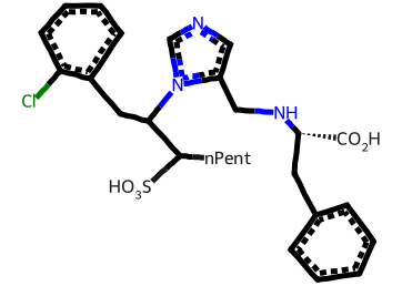 CCCCCC(C(Cc1ccccc1Cl)n1cncc1CN[C@@H](Cc1ccccc1)C(=O)O)S(=O)(=O)O